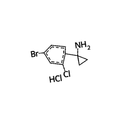 Cl.NC1(c2ccc(Br)cc2Cl)CC1